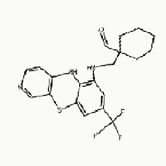 O=CC1(CNc2cc(C(F)(F)F)cc3c2Nc2ccncc2S3)CCCCC1